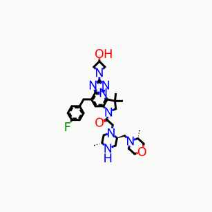 C[C@@H]1CN(CC(=O)N2CC(C)(C)c3c2cc(Cc2ccc(F)cc2)c2nc(N4CC(O)C4)nn32)[C@@H](CN2CCOC[C@H]2C)CN1